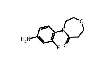 Nc1ccc(N2CCOCCC2=O)c(F)c1